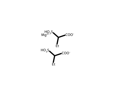 CCC(C(=O)[O-])S(=O)(=O)O.CCC(C(=O)[O-])S(=O)(=O)O.[Mg+2]